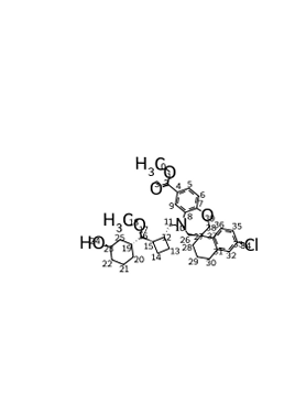 COC(=O)c1ccc2c(c1)N(C[C@@H]1CC[C@H]1C(OC)[C@@H]1CCC[C@@H](O)C1)C[C@@]1(CCCc3cc(Cl)ccc31)CO2